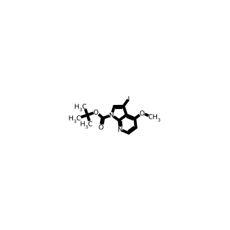 COc1ccnc2c1c(I)cn2C(=O)OC(C)(C)C